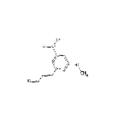 COc1cc(/C=C/C=O)cc([N+](=O)[O-])c1